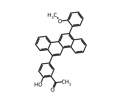 COc1ccccc1-c1cc2c3ccccc3c(-c3ccc(O)c(C(C)=O)c3)cc2c2ccccc12